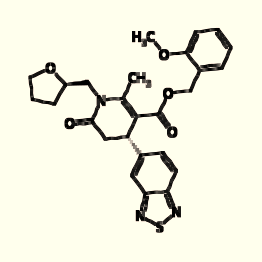 COc1ccccc1COC(=O)C1=C(C)N(C[C@H]2CCCO2)C(=O)C[C@H]1c1ccc2nsnc2c1